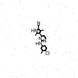 Cc1cc(Nc2nccc(-c3c(C)[nH]c(C#N)c3C)n2)ccc1Cl